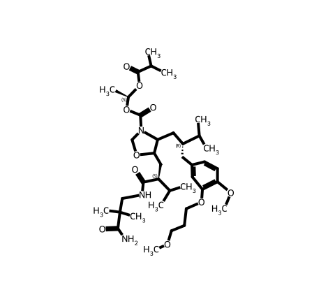 COCCCOc1cc(C[C@H](CC2C(C[C@H](C(=O)NCC(C)(C)C(N)=O)C(C)C)OCN2C(=O)O[C@@H](C)OC(=O)C(C)C)C(C)C)ccc1OC